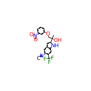 [C-]#[N+]c1cc2cc(C(C)(O)COc3cccc([N+](=O)[O-])c3)[nH]c2cc1C(F)(F)F